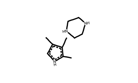 C1CNCCN1.Cc1c[nH]c(C)c1C